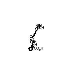 CC(OC(=O)CCCCCON(O)O)OC(=O)NCC1(CC(=O)O)CCCCC1